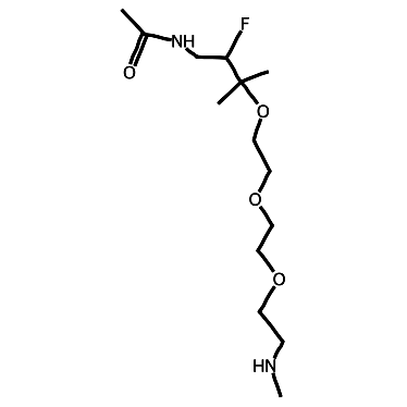 CNCCOCCOCCOC(C)(C)C(F)CNC(C)=O